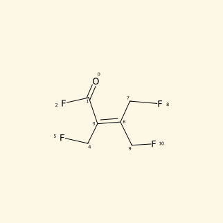 O=C(F)C(CF)=C(CF)CF